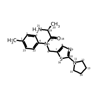 Cc1ccc(N(Cc2cnc(N3CCCC3)s2)C(=O)[C@H](C)N)cc1